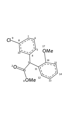 COC(=O)C(c1cccc(Cl)c1)c1ccccc1OC